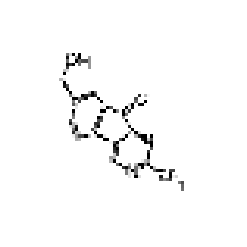 O=C1c2cc(CO)ccc2-c2cnc(C(F)(F)F)nc21